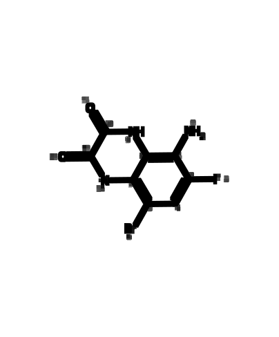 Nc1c(F)cc(Br)c2c1NC(=O)C(=O)[N]2